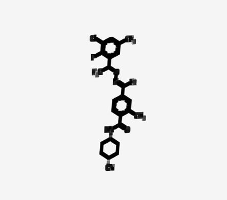 CC/C(=N\OC(c1cc(C(F)(F)F)cc(Cl)c1F)C(F)(F)F)c1ccc(C(=O)N[C@H]2CC[C@@H](C#N)CC2)c(C)c1